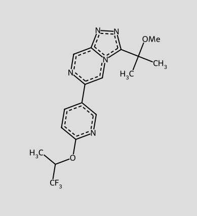 COC(C)(C)c1nnc2cnc(-c3ccc(OC(C)C(F)(F)F)nc3)cn12